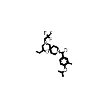 CCC1CN(CC(F)(F)F)CC2(CCN(C(=O)c3ccc(OC(C)C)c(C)c3)CC2)O1